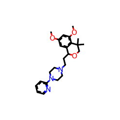 COc1cc(OC)c2c(c1)C(CCN1CCN(c3ccccn3)CC1)OCC2(C)C